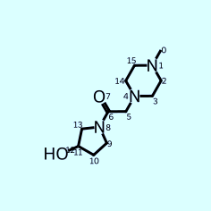 CN1CCN(CC(=O)N2CCC(O)C2)CC1